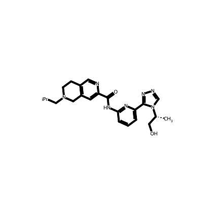 CC(C)CN1CCc2cnc(C(=O)Nc3cccc(-c4nncn4[C@H](C)CO)n3)cc2C1